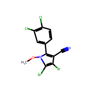 COn1c(Br)c(Br)c(C#N)c1-c1ccc(Cl)c(Cl)c1